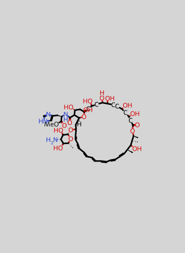 COC(=O)[C@@H](Cc1c[nH]cn1)NC(=O)C1[C@@H]2CC(O[C@@H]3O[C@H](C)C(O)[C@H](N)C3O)/C=C/C=C/C=C/C=C/C=C/C=C/C=C/[C@H](C)C(O)[C@@H](C)[C@H](C)OC(=O)CC(O)CC(O)CCC(O)C(O)CC(O)CC(O)(C[C@@H]1O)O2